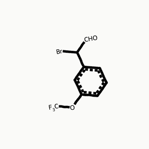 O=CC(Br)c1cccc(OC(F)(F)F)c1